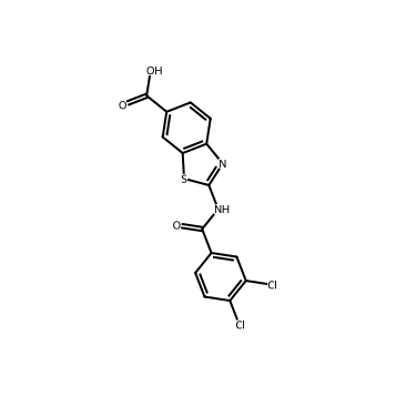 O=C(O)c1ccc2nc(NC(=O)c3ccc(Cl)c(Cl)c3)sc2c1